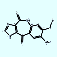 COc1cc2c(=O)c3[nH]nnc3c(=O)[nH]c2cc1OC(C)C